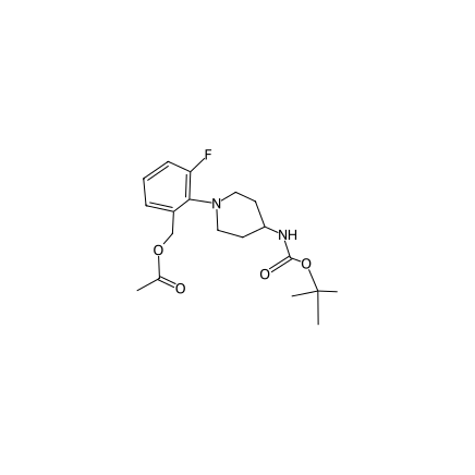 CC(=O)OCc1cccc(F)c1N1CCC(NC(=O)OC(C)(C)C)CC1